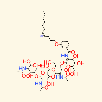 CCCCCC/C=C\CCCOc1cccc(C(=O)N[C@@H]2C(OC3C(CO)OC(OC4C(CO)OC(OC5C(CO)OC(O)C(NC(C)=O)C5O)C(NC(C)=O)C4O)[C@@H](NC(C)=O)C3O)OC(CO)C(O)C2O)c1